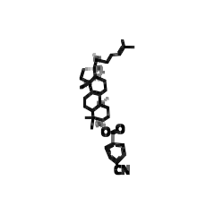 CC(C)=CCC[C@@H](C)[C@H]1CC[C@@]2(C)C3=C(CC[C@]12C)[C@@]1(C)CC[C@H](OC(=O)c2ccc(C#N)cc2)C(C)(C)C1CC3